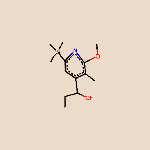 CCC(O)c1cc([Si](C)(C)C)nc(OC)c1C